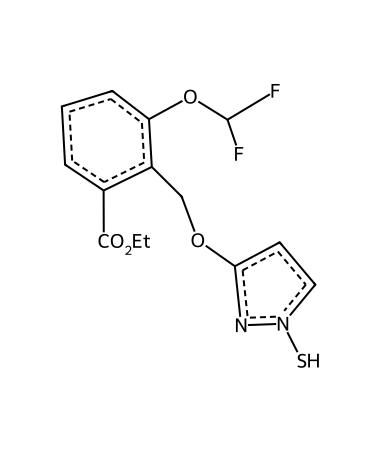 CCOC(=O)c1cccc(OC(F)F)c1COc1ccn(S)n1